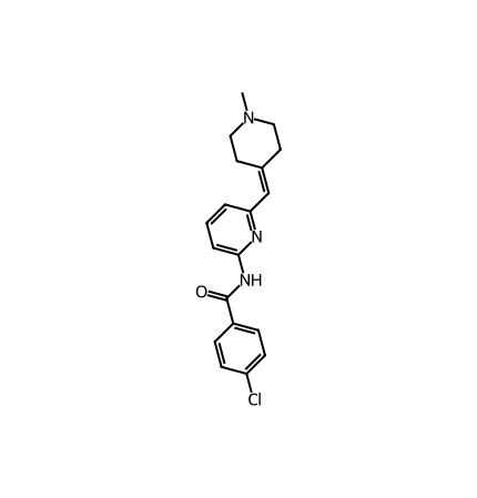 CN1CCC(=Cc2cccc(NC(=O)c3ccc(Cl)cc3)n2)CC1